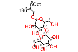 CCCCCCCCC(CCCC)CO[C@H]1OC(CO)[C@@H](O[C@@H]2OC(CO)[C@@H](O)[C@H](O)C2O)[C@H](O)C1O